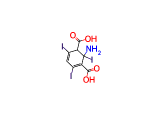 NC1(I)C(C(=O)O)=C(I)C=C(I)C1C(=O)O